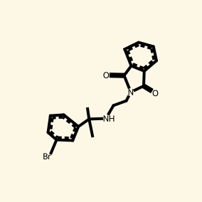 CC(C)(NCCN1C(=O)c2ccccc2C1=O)c1cccc(Br)c1